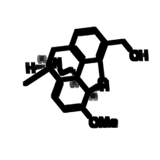 COC1=CC=C2[C@H]3Cc4ccc(CO)c5c4[C@@]2(CCN3C)[C@H]1O5